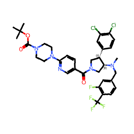 CN(Cc1ccc(C(F)(F)F)c(F)c1)[C@H]1CN(C(=O)c2ccc(N3CCN(C(=O)OC(C)(C)C)CC3)nc2)C[C@@H]1c1ccc(Cl)c(Cl)c1